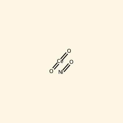 [O]=[Ce]=[O].[O]=[Ni]